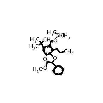 CCCc1c(OC(C(=O)OC)c2ccccc2)ccc(C(C)(C)C)c1CO[SiH](C)C